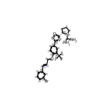 NC(N)N1CCC[C@H]1c1nc(-c2ccc(OC/C=C/c3cccc(Br)c3)c(C(F)(F)F)c2)no1